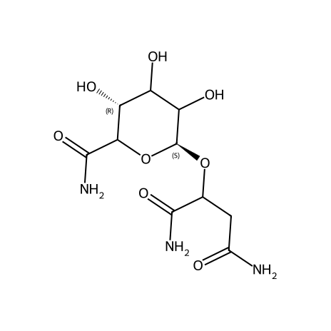 NC(=O)CC(O[C@H]1OC(C(N)=O)[C@H](O)C(O)C1O)C(N)=O